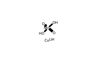 [Co].[LiH].[O]=[Mn](=[O])([OH])[OH]